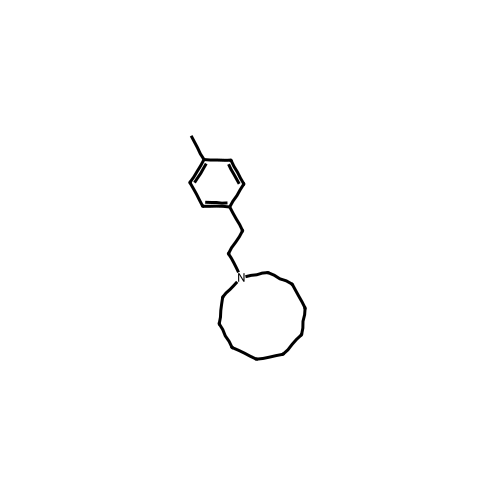 Cc1ccc(CCN2CCCCCCCCC2)cc1